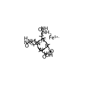 CCC1=C(C(C)SCC(N)C(=O)NC)C2C=c3[n-]c(c(CCC(=O)O)c3C)=CC3=NC(=Cc4[n-]c(c(C(C)SCC(N)C(=O)NC)c4C)C=C1[N-]2)C(C)=C3CCC(=O)O.[Fe+5]